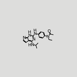 CCN(C(C)=O)c1ccc(Nc2nc(NC(C)C)c3ccnc-3[nH]2)cc1